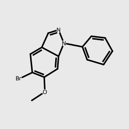 COc1cc2c(cnn2-c2ccccc2)cc1Br